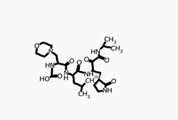 CC(C)CC(NC(=O)C(CN1CCOCC1)NC(=O)O)C(=O)NC(C[C@@H]1CCNC1=O)C(=O)C(=O)NC(C)C